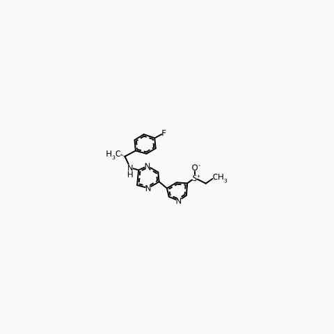 CC[S+]([O-])c1cncc(-c2cnc(N[C@H](C)c3ccc(F)cc3)cn2)c1